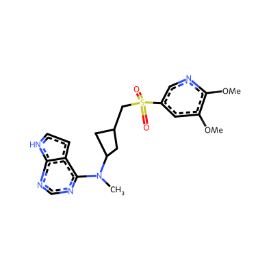 COc1cc(S(=O)(=O)CC2CC(N(C)c3ncnc4[nH]ccc34)C2)cnc1OC